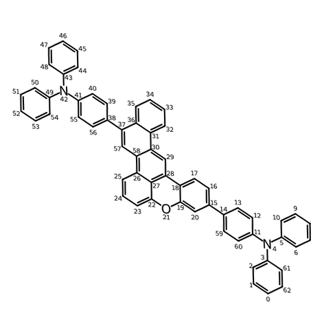 c1ccc(N(c2ccccc2)c2ccc(-c3ccc4c(c3)Oc3cccc5c3c-4cc3c4ccccc4c(-c4ccc(N(c6ccccc6)c6ccccc6)cc4)cc53)cc2)cc1